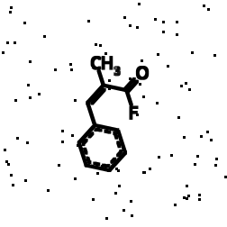 CC(=Cc1ccccc1)C(=O)F